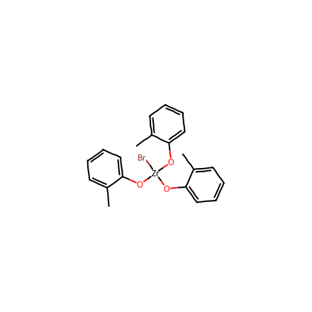 Cc1ccccc1[O][Zr]([Br])([O]c1ccccc1C)[O]c1ccccc1C